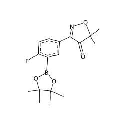 CC1(C)ON=C(c2ccc(F)c(B3OC(C)(C)C(C)(C)O3)c2)C1=O